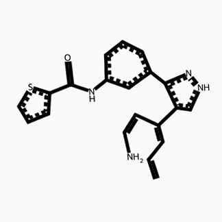 C=C/C=C(\C=C/N)c1c[nH]nc1-c1cccc(NC(=O)c2cccs2)c1